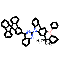 CC1(C)c2ccccc2B(c2ccccc2)c2cc3c4ccccc4n(-c4nc(-c5ccc6c(c5)-c5ccccc5C65c6ccccc6-c6ccccc65)c5ccccc5n4)c3cc21